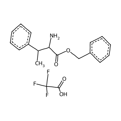 CC(c1ccccc1)C(N)C(=O)OCc1ccccc1.O=C(O)C(F)(F)F